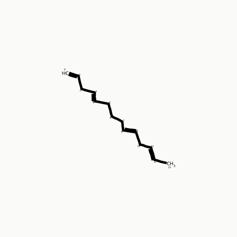 [CH]=CCC=CCCCC=CCC=CC